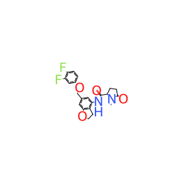 CN1C(=O)CCC1C(=O)Nc1cc(COc2ccc(F)c(F)c2)cc2c1CCO2